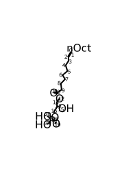 CCCCCCCC/C=C/CCCCCCCC(=O)OC[C@@H](O)COP(=O)(O)O